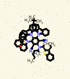 C=C(/C=C\CC)N(C(=C)c1sc2ccccc2c1CC)c1c(C#N)c(-n2c3ccccc3c3ccccc32)c(-n2c3ccc(C(C)(C)C)cc3c3ccc4c5ccccc5sc4c32)c(-n2c3ccccc3c3ccccc32)c1C#N